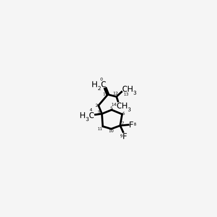 C=C(CC1(C)CCC(F)(F)CC1)C(C)C